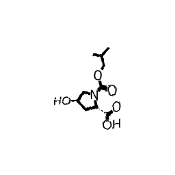 CC(C)COC(=O)N1C[C@H](O)C[C@H]1C(=O)O